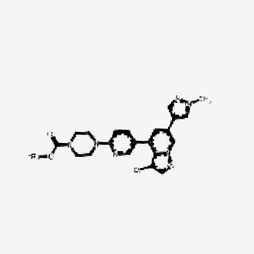 CCc1cnn2cc(-c3cnn(C)c3)cc(-c3ccc(N4CCN(C(=O)OC(C)(C)C)CC4)nc3)c12